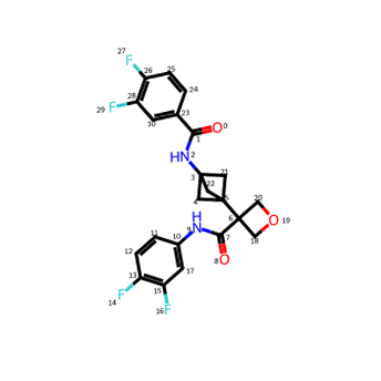 O=C(NC12CC(C3(C(=O)Nc4ccc(F)c(F)c4)COC3)(C1)C2)c1ccc(F)c(F)c1